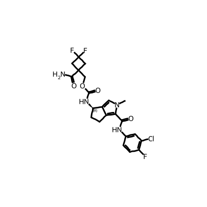 Cn1cc2c(c1C(=O)Nc1ccc(F)c(Cl)c1)CC[C@H]2NC(=O)OCC1(C(N)=O)CC(F)(F)C1